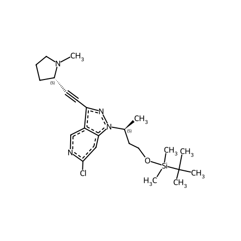 C[C@@H](CCO[Si](C)(C)C(C)(C)C)n1nc(C#C[C@@H]2CCCN2C)c2cnc(Cl)cc21